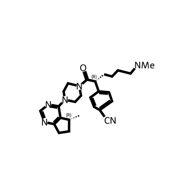 CNCCCC[C@@H](C(=O)N1CCN(c2ncnc3c2[C@H](C)CC3)CC1)c1ccc(C#N)cc1